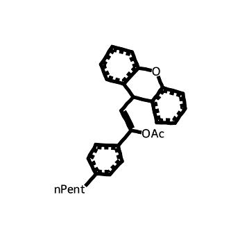 CCCCCc1ccc(C(=CC2c3ccccc3Oc3ccccc32)OC(C)=O)cc1